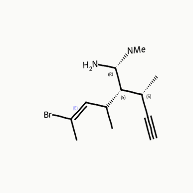 C#C[C@@H](C)[C@H](C(C)/C=C(\C)Br)[C@H](N)NC